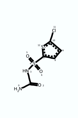 NC(=O)NS(=O)(=O)c1ccc(Cl)s1